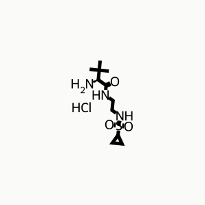 CC(C)(C)[C@H](N)C(=O)NCCNS(=O)(=O)C1CC1.Cl